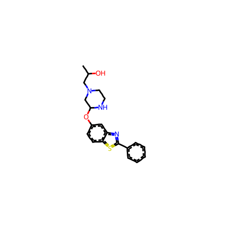 CC(O)CN1CCNC(Oc2ccc3sc(-c4ccccc4)nc3c2)C1